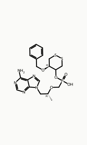 C[C@H](Cn1cnc2c(N)ncnc21)OCP(=O)(O)OC1CSSC[C@@H]1OCc1ccccc1